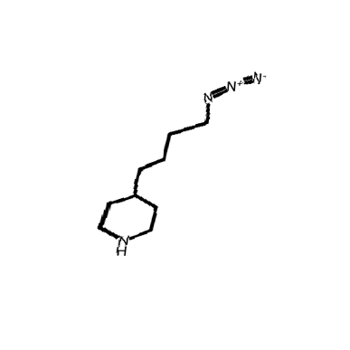 [N-]=[N+]=NCCCCC1CCNCC1